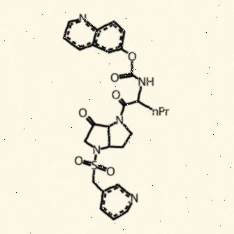 CCCC(NC(=O)Oc1ccc2ncccc2c1)C(=O)N1CCC2C1C(=O)CN2S(=O)(=O)Cc1cccnc1